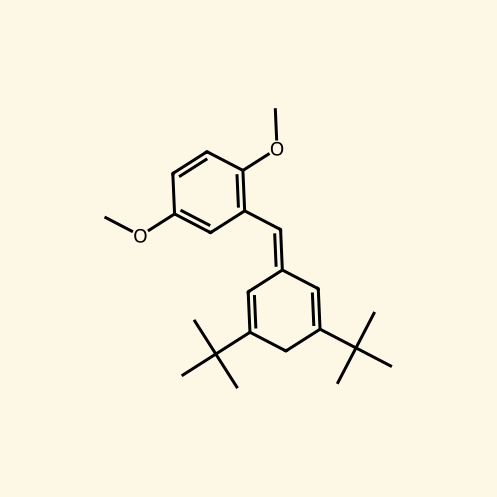 COc1ccc(OC)c(C=C2C=C(C(C)(C)C)CC(C(C)(C)C)=C2)c1